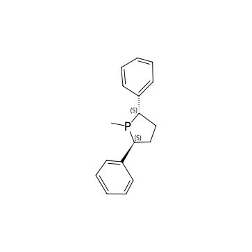 CP1[C@H](c2ccccc2)CC[C@H]1c1ccccc1